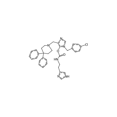 O=C(NCCc1c[nH]cn1)Oc1c(CN2CCC(c3ccccc3)(c3ccccc3)CC2)ncn1Cc1ccc(Cl)cc1